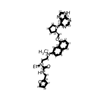 CCN(CCN(C)c1ccc2cccc(OC[C@H]3CCCN3c3ncnc4[nH]cnc34)c2c1)C(=O)NCc1ccco1